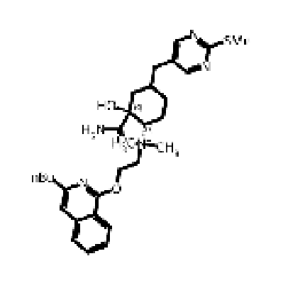 CCCCc1cc2ccccc2c(OCC[N+](C)(C)[C@H]2CCC(Cc3cnc(SC)nc3)C[C@@]2(O)C(N)=O)n1